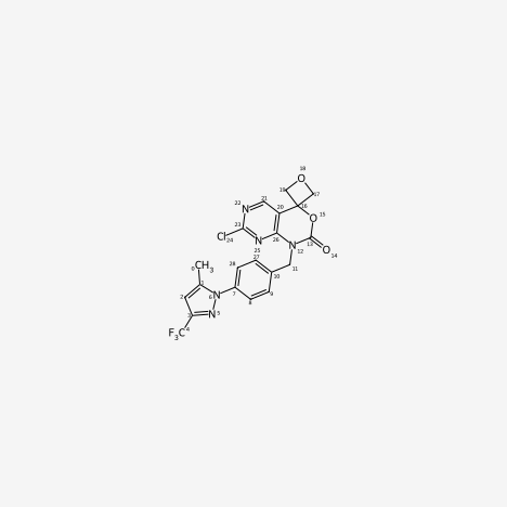 Cc1cc(C(F)(F)F)nn1-c1ccc(CN2C(=O)OC3(COC3)c3cnc(Cl)nc32)cc1